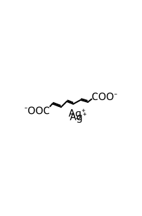 O=C([O-])/C=C/C=C/C=C/C(=O)[O-].[Ag+].[Ag+]